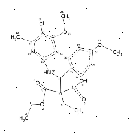 CCOC(=O)C(CC)(C(=O)O)C(Nc1nc(C)c(Cl)c(OC)n1)c1ccc(OC)cc1